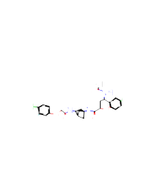 CC(=O)NC1CC(C(=O)NC23CC(C2)C(NC(=O)COc2ccc(Cl)c(F)c2)C3)Oc2ccc(Cl)cc21